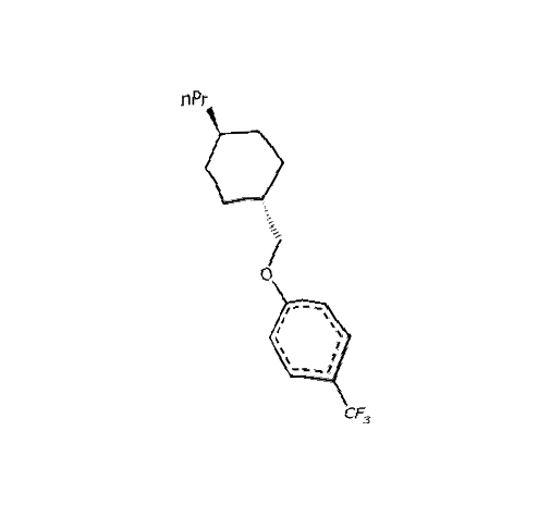 CCC[C@H]1CC[C@H](COc2ccc(C(F)(F)F)cc2)CC1